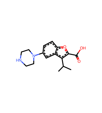 CC(C)c1c(C(=O)O)oc2ccc(N3CCNCC3)cc12